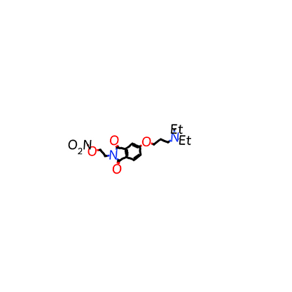 CCN(CC)CCCOc1ccc2c(c1)C(=O)N(CCO[N+](=O)[O-])C2=O